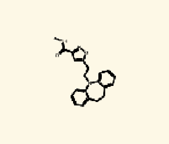 CNC(=O)c1cc(CCN2c3ccccc3CCc3ccccc32)on1